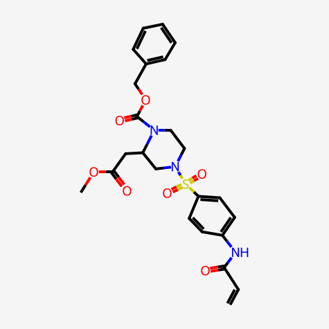 C=CC(=O)Nc1ccc(S(=O)(=O)N2CCN(C(=O)OCc3ccccc3)C(CC(=O)OC)C2)cc1